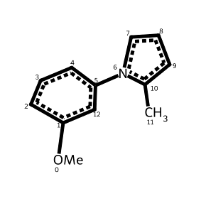 COc1cccc(-n2cccc2C)c1